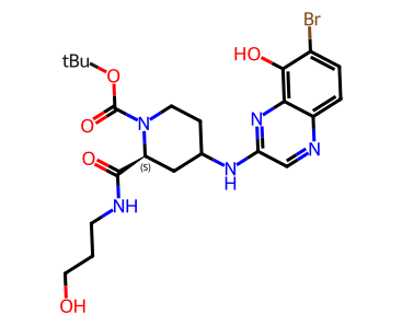 CC(C)(C)OC(=O)N1CCC(Nc2cnc3ccc(Br)c(O)c3n2)C[C@H]1C(=O)NCCCO